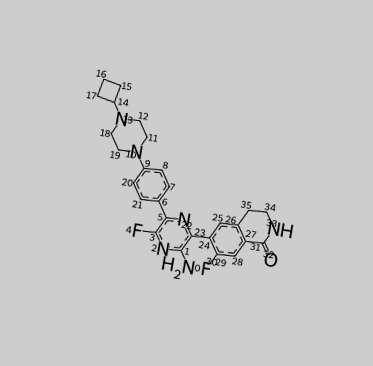 Nc1nc(F)c(-c2ccc(N3CCN(C4CCC4)CC3)cc2)nc1-c1cc2c(cc1F)C(=O)NCC2